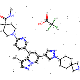 CC(C)NC(=O)C1(C)CCN(c2ccc(-c3cc(-c4cnn(C5CCC6(CC5)CNC6)c4)cn4ncc(C#N)c34)cn2)CC1.O=C(O)C(F)(F)F